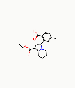 CCOC(=O)c1cc(-c2cc(C)ccc2C(=O)O)n2c1CCCC2